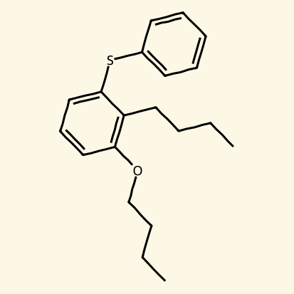 CCCCOc1cccc(Sc2ccccc2)c1CCCC